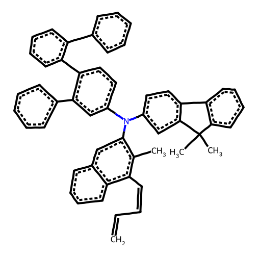 C=C/C=C\c1c(C)c(N(c2ccc(-c3ccccc3-c3ccccc3)c(-c3ccccc3)c2)c2ccc3c(c2)C(C)(C)c2ccccc2-3)cc2ccccc12